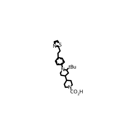 CC(C)(C)C1CC(C2CCN(C(=O)O)CC2)CCN1c1ccc(CCc2nccs2)cc1